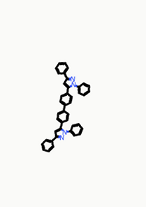 c1ccc(-c2cc(-c3ccc(-c4ccc(-c5cc(-c6ccccc6)nn5-c5ccccc5)cc4)cc3)n(-c3ccccc3)n2)cc1